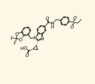 CCS(=O)(=O)c1ccc(CNC(=O)c2ccc3c(c2)nc([C@@H]2C[C@H]2C(=O)O)n3Cc2cccc3c2OC(F)(F)O3)cc1